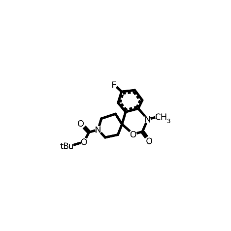 CN1C(=O)OC2(CCN(C(=O)OC(C)(C)C)CC2)c2cc(F)ccc21